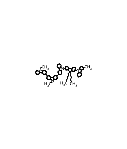 CCCCCCC1(CCCCCC)c2cc(-n3c4ccccc4c4cc(C)ccc43)ccc2-c2ccc(-n3c4ccccc4c4cc(-c5ccc6c(c5)c5cc(-c7ccc8c(c7)c7ccccc7n8CC)ccc5n6CC)ccc43)cc21